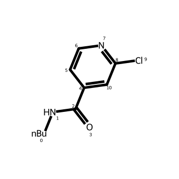 CCCCNC(=O)c1ccnc(Cl)c1